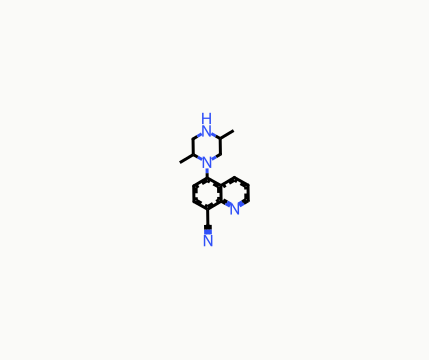 CC1CN(c2ccc(C#N)c3ncccc23)C(C)CN1